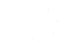 Cc1cnc(-c2ncc(C(=O)N3C[C@@H](C)O[C@@H](C)C3)s2)c(C(C)C)n1